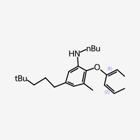 C/C=C\C(=C/C)Oc1c(C)cc(CCCC(C)(C)C)cc1NCCCC